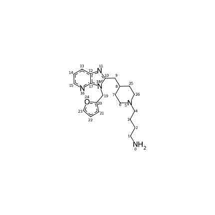 NCCCCN1CCC(Cc2nc3cccnc3n2Cc2ccco2)CC1